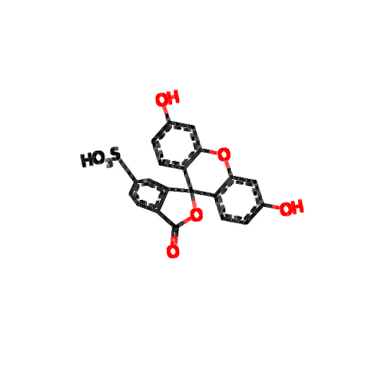 O=C1OC2(c3ccc(O)cc3Oc3cc(O)ccc32)c2cc(S(=O)(=O)O)ccc21